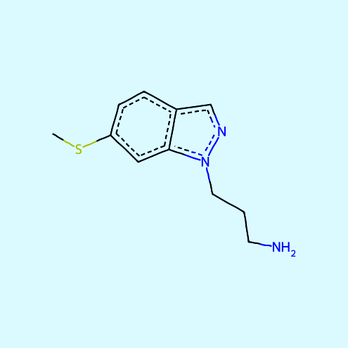 CSc1ccc2cnn(CCCN)c2c1